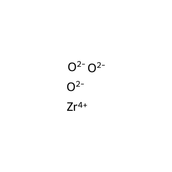 [O-2].[O-2].[O-2].[Zr+4]